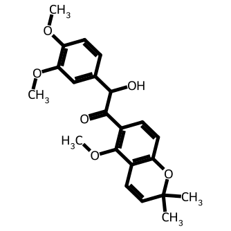 COc1ccc(C(O)C(=O)c2ccc3c(c2OC)C=CC(C)(C)O3)cc1OC